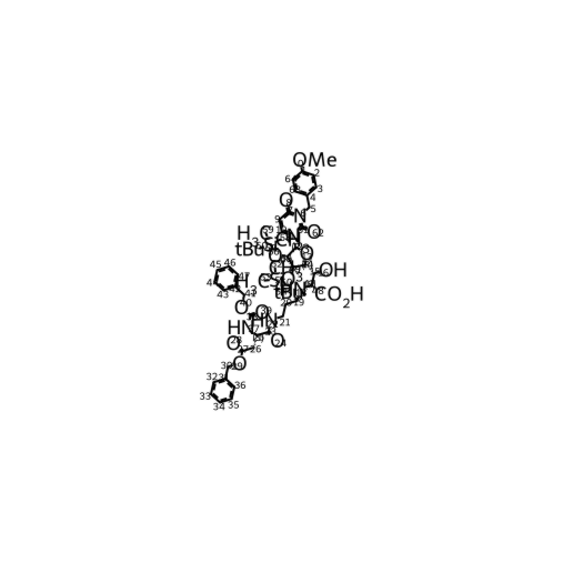 COc1ccc(Cn2c(=O)ccn([C@@H]3O[C@H](C(O)[C@H](NCCCNC(=O)[C@H](CC(=O)OCc4ccccc4)NC(=O)OCc4ccccc4)C(=O)O)[C@@H](O[Si](C)(C)C(C)(C)C)[C@H]3O[Si](C)(C)C(C)(C)C)c2=O)cc1